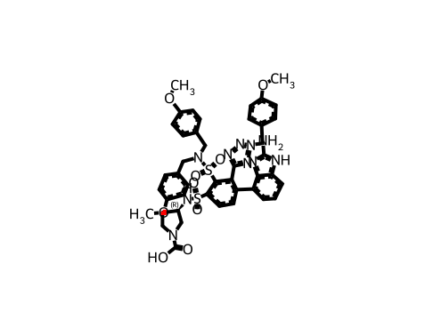 COc1ccc(CN(Cc2ccc(OC)cc2)S(=O)(=O)c2c(S(=O)(=O)N[C@@H]3CCN(C(=O)O)C3)ccc(-c3cccc4[nH]c(N)nc34)c2-c2nnn(Cc3ccc(OC)cc3)n2)cc1